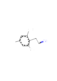 Cc1cc(C)c(CC=N)c(C)c1